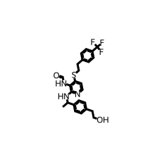 CC(Nc1nccc(SCCc2ccc(C(F)(F)F)cc2)c1NC=O)c1ccc(CCO)cc1